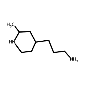 CC1CC(CCCN)CCN1